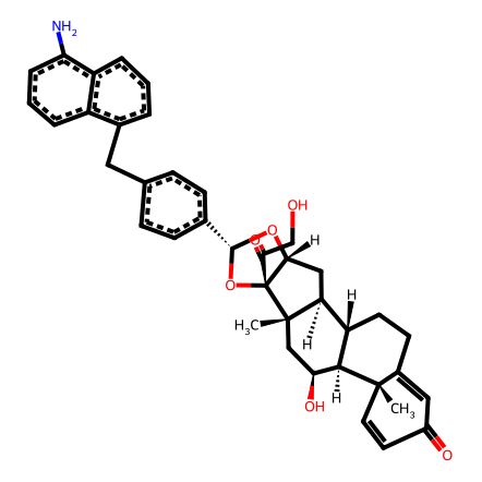 C[C@]12C=CC(=O)C=C1CC[C@@H]1[C@@H]2[C@@H](O)C[C@@]2(C)[C@H]1C[C@H]1O[C@@H](c3ccc(Cc4cccc5c(N)cccc45)cc3)O[C@]12C(=O)CO